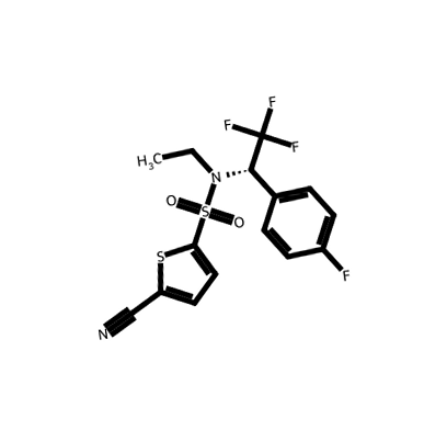 CCN([C@@H](c1ccc(F)cc1)C(F)(F)F)S(=O)(=O)c1ccc(C#N)s1